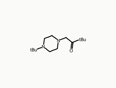 CC(C)(C)C(=O)CN1CCN(C(C)(C)C)CC1